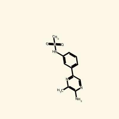 Cc1nc(-c2cccc(NS(C)(=O)=O)c2)cnc1N